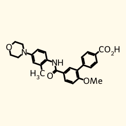 COc1ccc(C(=O)Nc2ccc(N3CCOCC3)cc2C)cc1-c1ccc(C(=O)O)cc1